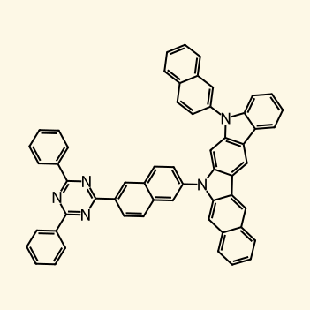 c1ccc(-c2nc(-c3ccccc3)nc(-c3ccc4cc(-n5c6cc7ccccc7cc6c6cc7c8ccccc8n(-c8ccc9ccccc9c8)c7cc65)ccc4c3)n2)cc1